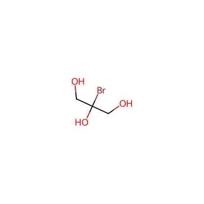 OCC(O)(Br)CO